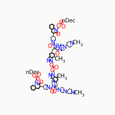 CCCCCCCCCCOC(=O)OCn1c(=O)c(C2CCN(C(=O)N[C@H](Cc3cc(C)c4c(cnn4COC(=O)OCn4ncc5cc(C[C@@H](NC(=O)N6CCC(c7cc8ccccc8n(COC(=O)OCCCCCCCCCC)c7=O)CC6)C(=O)N6CCN(C7CCN(C)CC7)CC6)cc(C)c54)c3)C(=O)N3CCN(C4CCN(C)CC4)CC3)CC2)cc2ccccc21